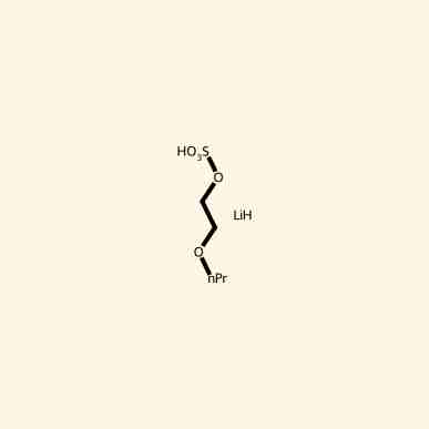 CCCOCCOS(=O)(=O)O.[LiH]